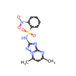 Cc1cc(C)n2nc(NS(=O)(=O)c3ccccc3[N+](=O)[O-])nc2n1